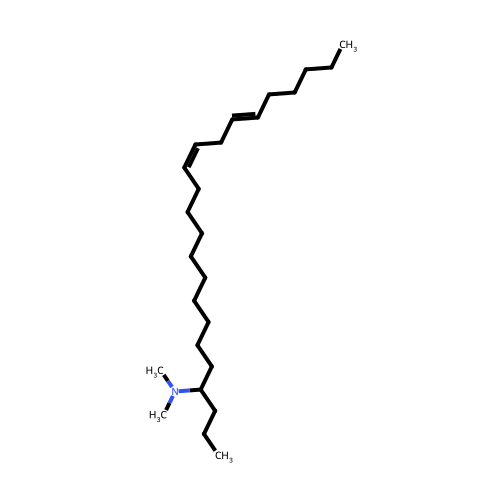 CCCCC/C=C/C/C=C\CCCCCCCCCC(CCC)N(C)C